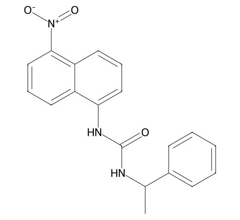 CC(NC(=O)Nc1cccc2c([N+](=O)[O-])cccc12)c1ccccc1